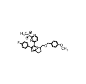 COc1ccc(COCC2CCc3nc(-c4ccc(F)cc4)c(-c4ccnc(S(C)(=O)=O)n4)n32)cc1